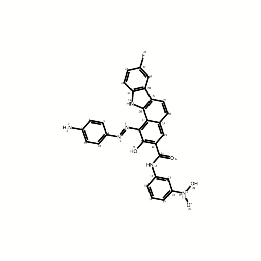 Nc1ccc(N=Nc2c(O)c(C(=O)Nc3cccc([NH+]([O-])O)c3)cc3ccc4c5cc(F)ccc5[nH]c4c23)cc1